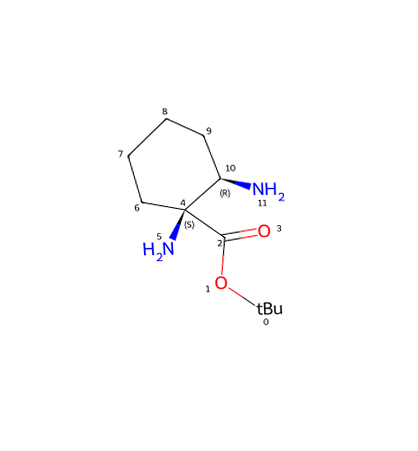 CC(C)(C)OC(=O)[C@]1(N)CCCC[C@H]1N